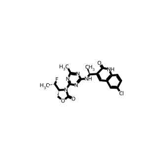 Cc1nc(N[C@@H](C)c2cc3cc(Cl)ccc3[nH]c2=O)nc(N2C(=O)OC[C@@H]2[C@H](C)F)n1